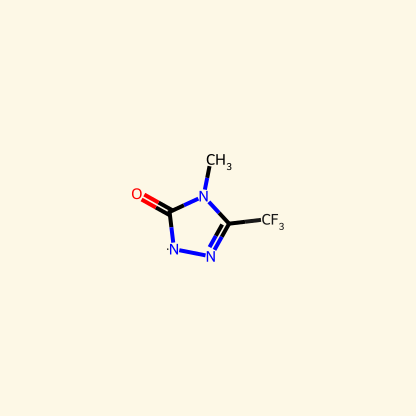 CN1C(=O)[N]N=C1C(F)(F)F